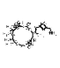 C/C(=C\c1csc(CN)n1)[C@@H]1C[C@@H]2O[C@]2(C)CCC[C@H](C)[C@H](O)[C@H](C)C(=O)C(C)(C)[C@@H](O)CC(=O)O1